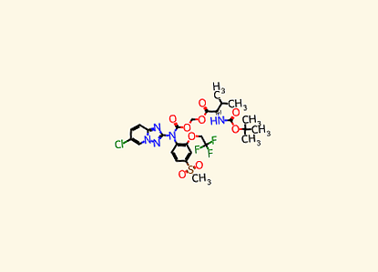 CC(C)[C@H](NC(=O)OC(C)(C)C)C(=O)OCOC(=O)N(c1nc2ccc(Cl)cn2n1)c1ccc(S(C)(=O)=O)cc1OCC(F)(F)F